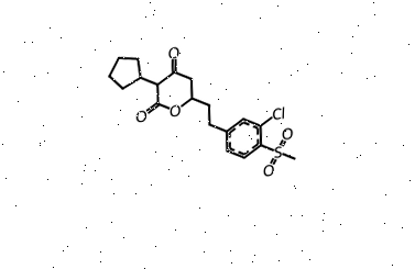 CS(=O)(=O)c1ccc(CCC2CC(=O)C(C3CCCC3)C(=O)O2)cc1Cl